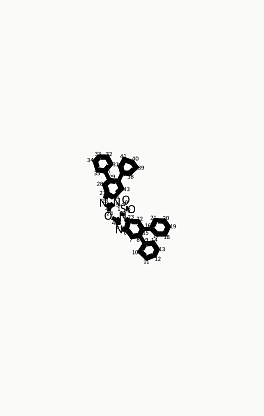 O=S1(=O)n2c(nc3cc(-c4ccccc4)c(-c4ccccc4)cc32)Oc2nc3cc(-c4ccccc4)c(-c4ccccc4)cc3n21